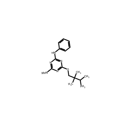 CNc1nc(Nc2ccccc2)nc(OCC(C)(C)C(C)P)n1